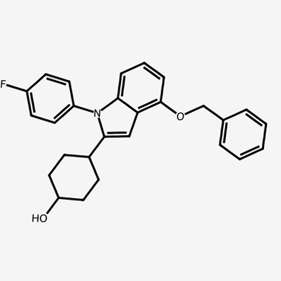 OC1CCC(c2cc3c(OCc4ccccc4)cccc3n2-c2ccc(F)cc2)CC1